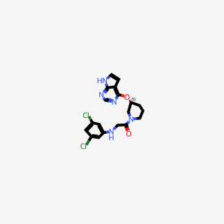 O=C(CNc1cc(Cl)cc(Cl)c1)N1CCC[C@H](Oc2ncnc3[nH]ccc23)C1